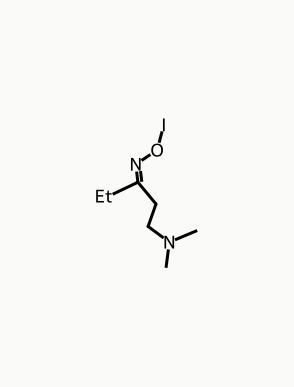 CC/C(CCN(C)C)=N/OI